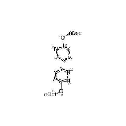 CCCCCCCCCCOc1ccc(-c2ccc(OCCCCCCCC)nn2)cn1